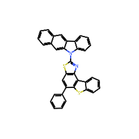 c1ccc(-c2cc3sc(-n4c5ccccc5c5cc6ccccc6cc54)nc3c3c2sc2ccccc23)cc1